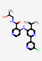 C=C(C)c1cnc(-c2cncc(Cl)c2)cc1Nc1ccncc1C(=O)NCC(C)O